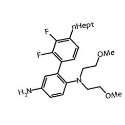 CCCCCCCc1ccc(-c2cc(N)ccc2N(CCOC)CCOC)c(F)c1F